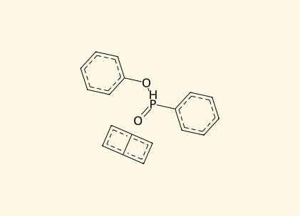 O=[PH](Oc1ccccc1)c1ccccc1.c1cc2ccc1-2